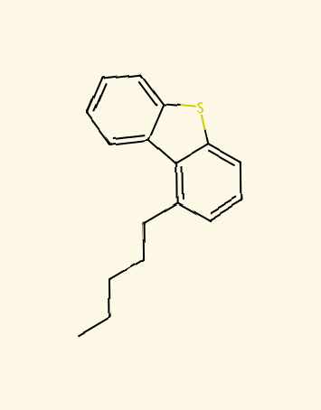 CCCCCc1cccc2sc3ccccc3c12